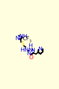 O=c1nc(NCCSCc2nc[nH]c2C(F)(F)F)[nH]nc1Cc1cccnc1